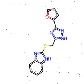 c1coc(-c2n[nH]c(CSc3nc4ccccc4[nH]3)n2)c1